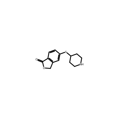 O=C1OCc2cc(SC3CCNCC3)ccc21